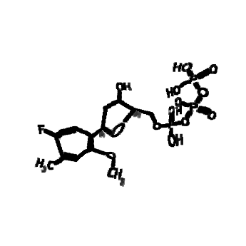 COc1cc(C)c(F)cc1[C@H]1CC(O)[C@@H](COP(=O)(O)OP(=O)(O)OP(=O)(O)O)O1